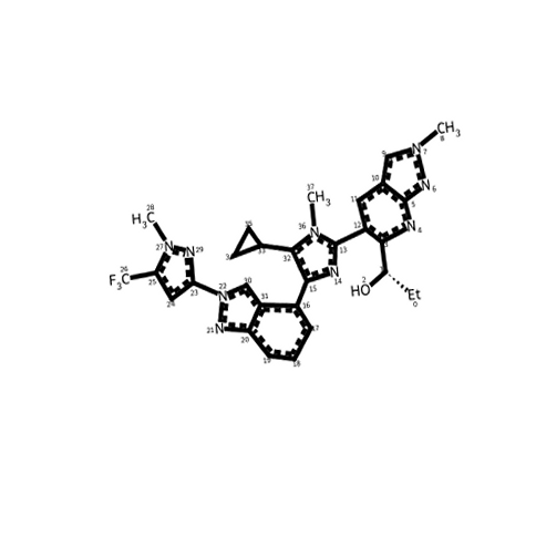 CC[C@H](O)c1nc2nn(C)cc2cc1-c1nc(-c2cccc3nn(-c4cc(C(F)(F)F)n(C)n4)cc23)c(C2CC2)n1C